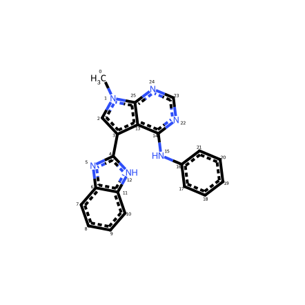 Cn1cc(-c2nc3ccccc3[nH]2)c2c(Nc3ccccc3)ncnc21